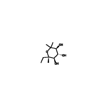 CC[C@]1(C)OC(C)(C)[C@@H](O)[C@H](O)[C@H]1O